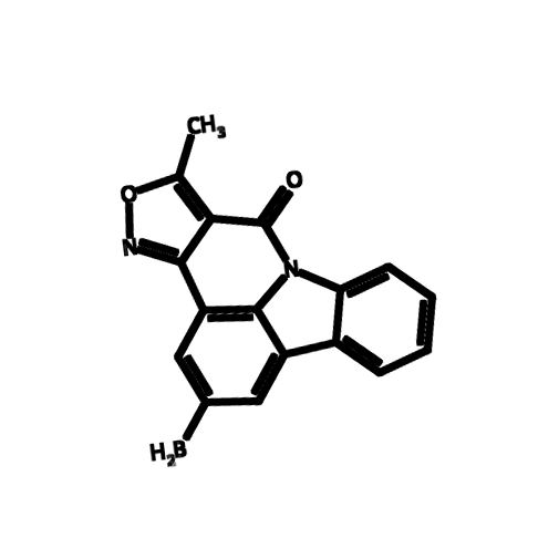 Bc1cc2c3ccccc3n3c(=O)c4c(C)onc4c(c1)c23